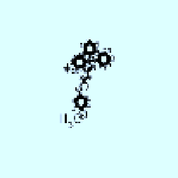 COc1ccc(COCCCC[P+](c2ccccc2)(c2ccccc2)c2ccccc2)cc1.[I-]